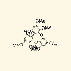 COc1cc(C)c2c(oc3c(OC)cc(C)cc3oc3c(OC)c(OC)cc(O)c32)c1OC